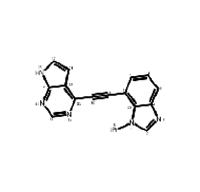 CC(C)n1cnc2cccc(C#Cc3ncnc4[nH]ccc34)c21